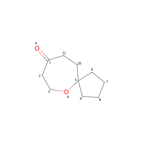 O=C1CCOC2(CCCC2)CC1